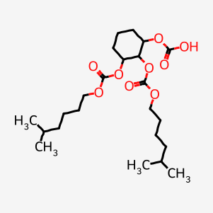 CC(C)CCCCOC(=O)OC1CCCC(OC(=O)O)C1OC(=O)OCCCCC(C)C